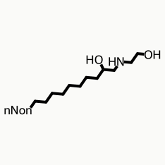 CCCCCCCCCCCCCCCCCC(O)CNCCO